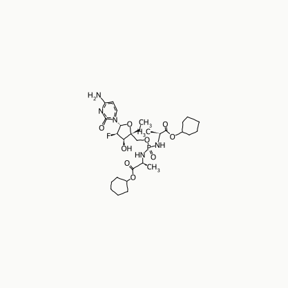 CC[C@]1(COP(=O)(N[C@@H](C)C(=O)OC2CCCCC2)N[C@@H](C)C(=O)OC2CCCCC2)O[C@@H](n2ccc(N)nc2=O)[C@H](F)[C@@H]1O